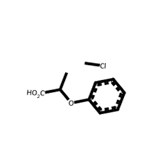 CC(Oc1ccccc1)C(=O)O.CCl